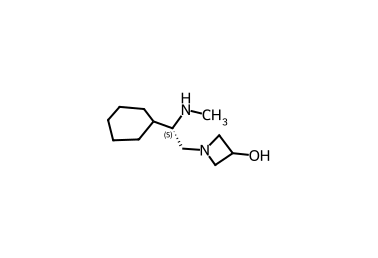 CN[C@H](CN1CC(O)C1)C1CCCCC1